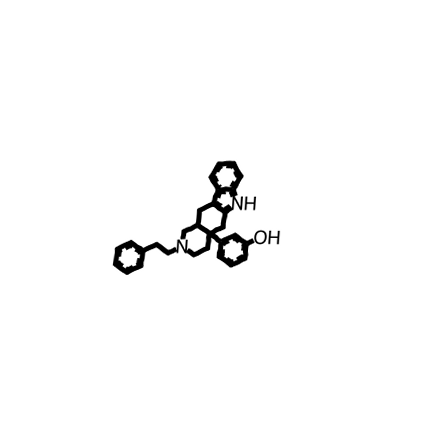 Oc1cccc(C23CCN(CCc4ccccc4)CC2Cc2c([nH]c4ccccc24)C3)c1